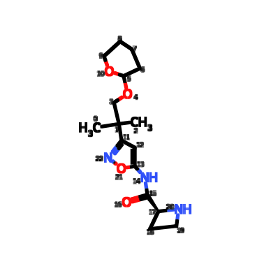 CC(C)(COC1CCCCO1)c1cc(NC(=O)[C@@H]2CCN2)on1